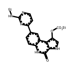 CCNc1nccc(-c2ccc3[nH]c(=O)c4[nH]cc(OC(=O)OCC)c4c3c2)n1